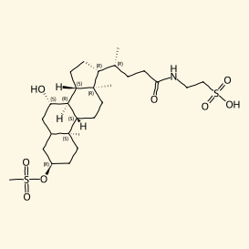 C[C@H](CCC(=O)NCCS(=O)(=O)O)[C@H]1CC[C@H]2[C@@H]3[C@@H](O)CC4C[C@H](OS(C)(=O)=O)CC[C@]4(C)[C@H]3CC[C@]12C